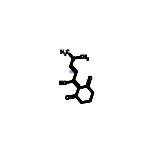 CN(C)/C=C/C(O)=C1C(=O)CCCC1=O